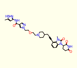 Cc1cc(NC(=O)c2cnn(CCOCCN3CCC(CC#Cc4cccc5c4n(C)c(=O)n5C4CCC(=O)NC4=O)CC3)c2)n[nH]1